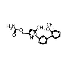 Cc1cc(COC(N)=O)nn1-c1cccc(-c2ccccc2OC(F)(F)F)c1